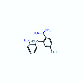 NC(N)c1ccc(C(=O)O)cc1C(=O)O.Nc1ccccc1